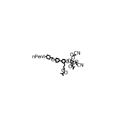 C=C(C)C(=O)OCCCc1cc(-c2ccc(OCC3CCC(CCCCC)CC3)cc2)ccc1OCC(COC(=O)CC#N)(COC(=O)CC#N)COC(=O)C(=C)C